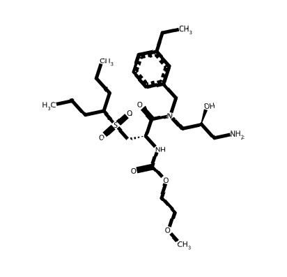 CCCC(CCC)S(=O)(=O)C[C@@H](NC(=O)OCCOC)C(=O)N(Cc1cccc(CC)c1)C[C@@H](O)CN